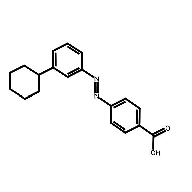 O=C(O)c1ccc(N=Nc2cccc(C3CCCCC3)c2)cc1